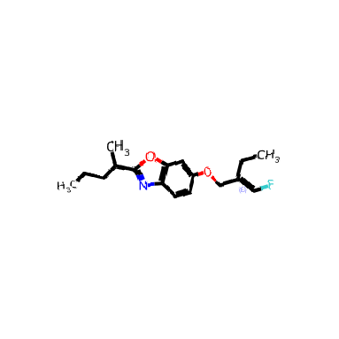 CCCC(C)c1nc2ccc(OC/C(=C/F)CC)cc2o1